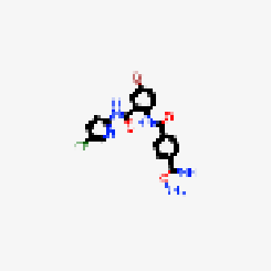 N=C(ON)c1ccc(C(=O)Nc2ccc(Br)cc2C(=O)Nc2ccc(Cl)cn2)cc1